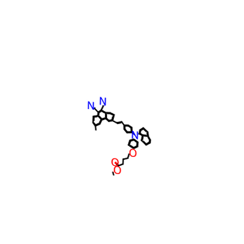 CCOC(=O)CCCCOc1ccc(N(c2ccc(/C=C/c3ccc4c(C#N)c(C#N)c5ccc(C)cc5c4c3)cc2)c2cccc3ccccc23)cc1